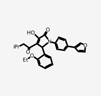 CCOc1ccccc1C1C(C(=O)CC(C)C)=C(O)C(=O)N1c1ccc(-c2ccoc2)cc1